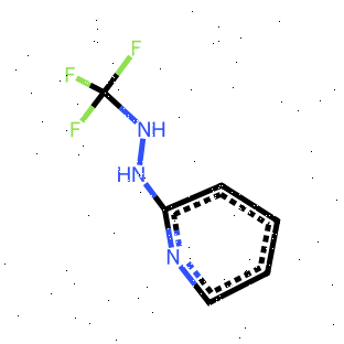 FC(F)(F)NNc1ccccn1